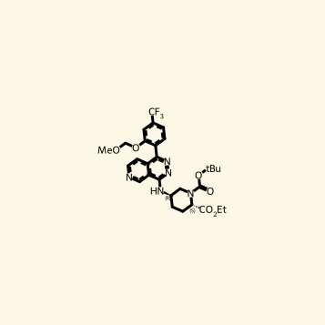 CCOC(=O)[C@@H]1CC[C@@H](Nc2nnc(-c3ccc(C(F)(F)F)cc3OCOC)c3ccncc23)CN1C(=O)OC(C)(C)C